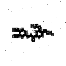 COc1ccc(C(=O)/C=C/c2ccc(O)c(O)c2)cc1OC